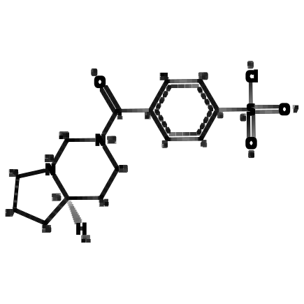 O=C(c1ccc(S(=O)(=O)Cl)cc1)N1CC[C@H]2CCCN2C1